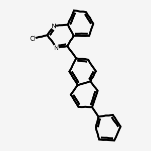 Clc1nc(-c2ccc3cc(-c4ccccc4)ccc3c2)c2ccccc2n1